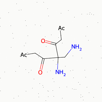 CC(=O)CC(=O)C(N)(CN)C(=O)CC(C)=O